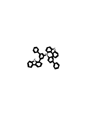 c1ccc(-c2ccc(N(c3cc(-c4ccccc4)cc(-c4cccc5c4sc4ccccc45)c3)c3cccc4sc5ccccc5c34)cc2)cc1